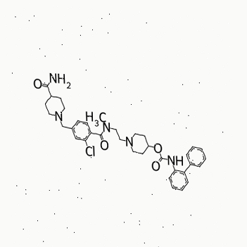 CN(CCN1CCC(OC(=O)Nc2ccccc2-c2ccccc2)CC1)C(=O)c1ccc(CN2CCC(C(N)=O)CC2)cc1Cl